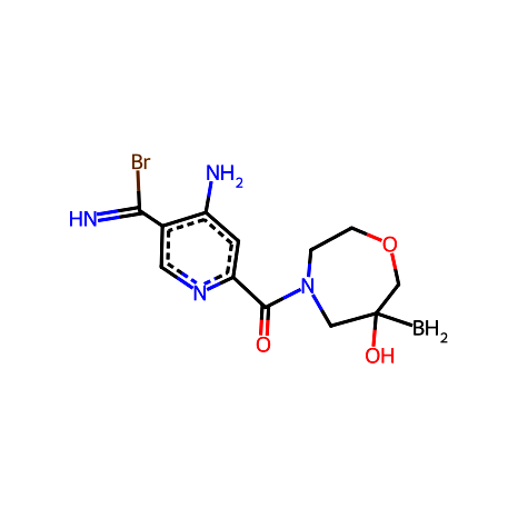 BC1(O)COCCN(C(=O)c2cc(N)c(C(=N)Br)cn2)C1